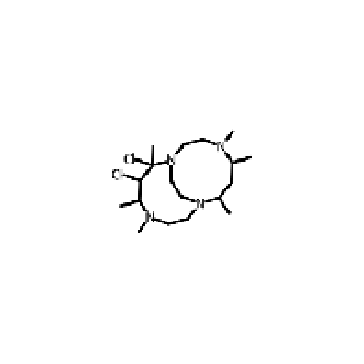 CC1CC(C)N2CCN(C)C(C)C(Cl)C(C)(Cl)N(CCN1C)CC2